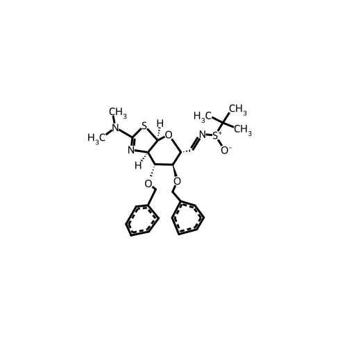 CN(C)C1=N[C@@H]2[C@@H](OCc3ccccc3)[C@H](OCc3ccccc3)[C@@H](/C=N/[S+]([O-])C(C)(C)C)O[C@@H]2S1